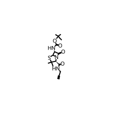 C#CCNC(=O)[C@@H]1N2C(=O)[C@@H](NC(=O)OC(C)(C)C)C2SC1(C)C